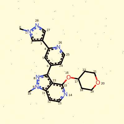 Cn1cc(-c2cc(-c3nn(C)c4ccnc(OC5CCOCC5)c34)ccn2)cn1